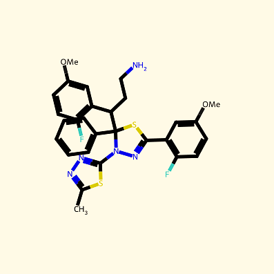 COc1ccc(F)c(C2=NN(c3nnc(C)s3)C(c3ccccc3)(C(CCN)c3cc(OC)ccc3F)S2)c1